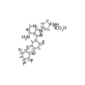 Nc1ncnc2c1c(-c1ccc(Oc3c(F)c(F)cc(F)c3F)cc1F)nn2[C@H]1CC[C@H](NC(=O)O)C1